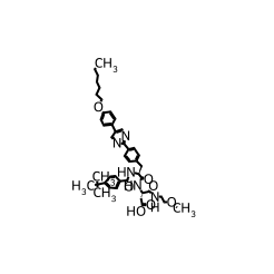 CCCCCCCOc1ccc(-c2cnc(-c3ccc(C[C@H](NC(=O)c4ccc(C(C)(C)C)cc4)C(=O)N[C@@H](CC(=O)O)C(=O)NCCOC)cc3)nc2)cc1